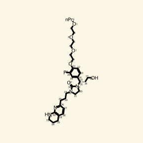 CCCOCCOCCOCCOc1ccc([C@H](CCO)N2CCN(CCCc3ccc4c(n3)NCCC4)C2=O)cc1F